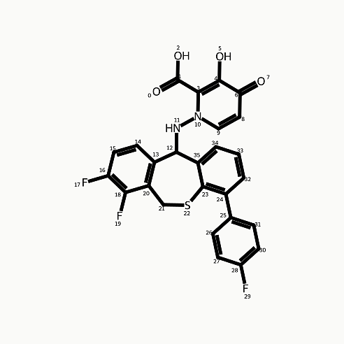 O=C(O)c1c(O)c(=O)ccn1NC1c2ccc(F)c(F)c2CSc2c(-c3ccc(F)cc3)cccc21